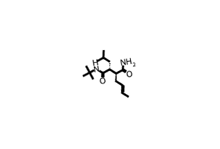 C/C=C/C[C@H](C(N)=O)[C@@H](CC(C)C)C(=O)NC(C)(C)C